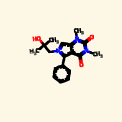 Cn1c(=O)c2c(-c3ccccc3)n(CC(C)(C)O)cc2n(C)c1=O